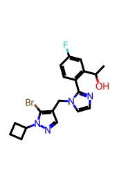 CC(O)c1cc(F)ccc1-c1nccn1Cc1cnn(C2CCC2)c1Br